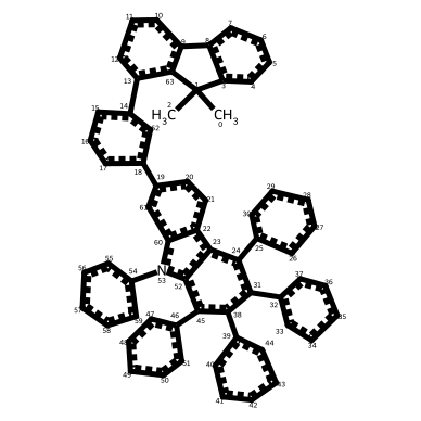 CC1(C)c2ccccc2-c2cccc(-c3cccc(-c4ccc5c6c(-c7ccccc7)c(-c7ccccc7)c(-c7ccccc7)c(-c7ccccc7)c6n(-c6ccccc6)c5c4)c3)c21